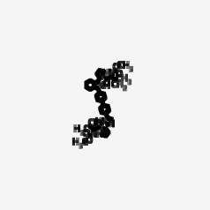 C=C(C)[C@H](NC(=O)OC)C(=O)N1CCCC1c1[nH]c(-c2ccc(-c3ccc(-c4cnc([C@@H]5CCCN5C(=O)[C@@H](NC(=O)OC)C(C)C)[nH]4)cc3)cc2)c2c1CCCC2